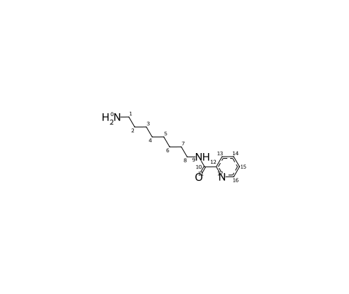 NCCCCCCCCNC(=O)c1ccccn1